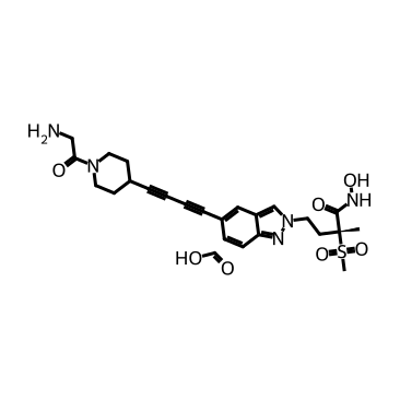 C[C@@](CCn1cc2cc(C#CC#CC3CCN(C(=O)CN)CC3)ccc2n1)(C(=O)NO)S(C)(=O)=O.O=CO